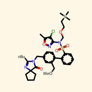 CCCCC1=NC2(CCCC2)C(=O)N1Cc1ccc(-c2ccccc2S(=O)(=O)N(COCC[Si](C)(C)C)c2noc(C)c2Cl)c(COC)c1